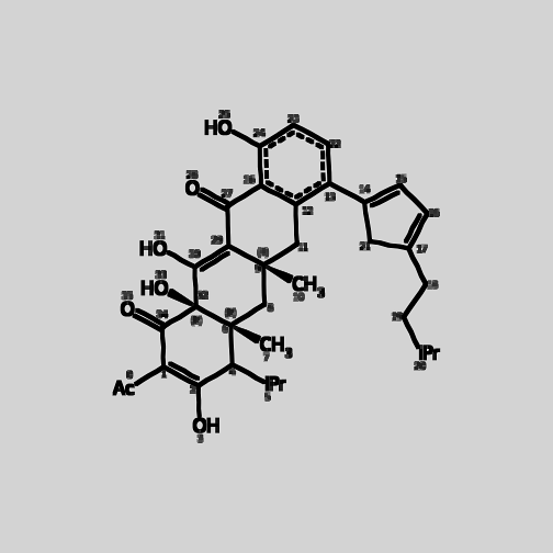 CC(=O)C1=C(O)C(C(C)C)[C@@]2(C)C[C@@]3(C)Cc4c(C5=CC=C(CCC(C)C)C5)ccc(O)c4C(=O)C3=C(O)[C@@]2(O)C1=O